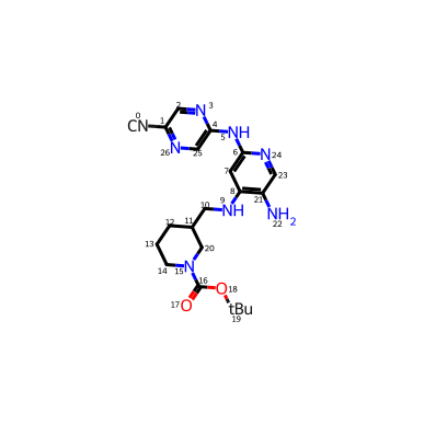 [C-]#[N+]c1cnc(Nc2cc(NCC3CCCN(C(=O)OC(C)(C)C)C3)c(N)cn2)cn1